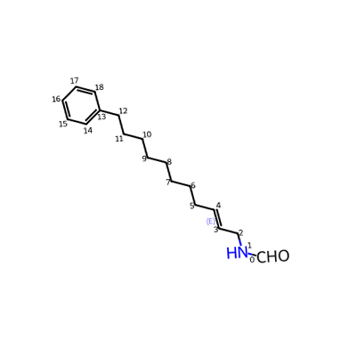 O=CNC/C=C/CCCCCCCCc1ccccc1